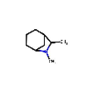 CC1C2CCCC(C2)N1C